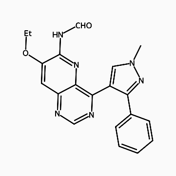 CCOc1cc2ncnc(-c3cn(C)nc3-c3ccccc3)c2nc1NC=O